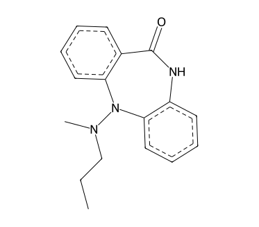 CCCN(C)N1c2ccccc2NC(=O)c2ccccc21